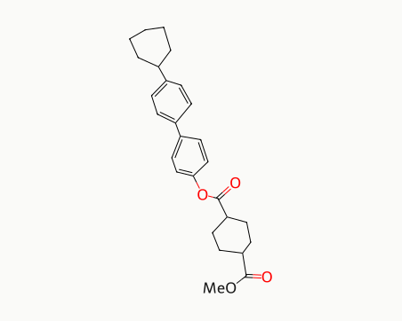 COC(=O)C1CCC(C(=O)Oc2ccc(-c3ccc(C4CCCCC4)cc3)cc2)CC1